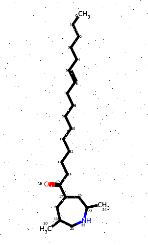 CCCCC/C=C/CCCCCCCCC(=O)C1CC(C)CNC(C)C1